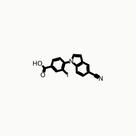 N#Cc1ccc2c(ccn2-c2ccc(C(=O)O)cc2I)c1